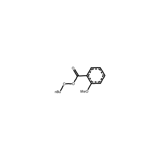 [CH2]CCCOOC(=O)c1ccccc1OC